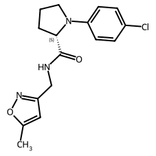 Cc1cc(CNC(=O)[C@@H]2CCCN2c2ccc(Cl)cc2)no1